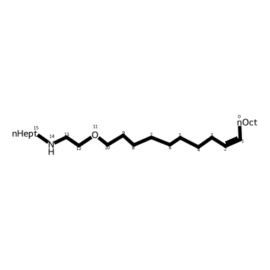 CCCCCCCC/C=C\CCCCCCCCOCCNCCCCCCC